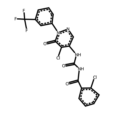 O=C(NC(=O)c1ccccc1Cl)Nc1cnn(-c2cccc(C(F)(F)F)c2)c(=O)c1Cl